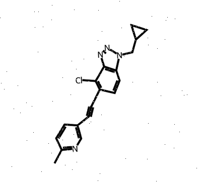 Cc1ccc(C#Cc2ccc3c(nnn3CC3CC3)c2Cl)cn1